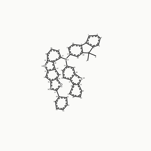 CC1(C)c2ccccc2-c2ccc(N(c3ccc4c(c3)sc3ccccc34)c3cccc4oc5cc6nc(-c7ccccc7)oc6cc5c34)cc21